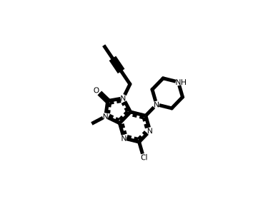 CC#CCn1c(=O)n(C)c2nc(Cl)nc(N3CCNCC3)c21